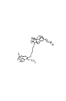 CCCc1c(OCCCCN2C(=O)NC(CC)(c3ccc(OC)cc3)C2=O)ccc2c1COC2(C(F)(F)F)C(F)(F)F